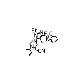 C=CC(=C)N1CCN(c2nc(CC)nc3c2CCN(c2ccccc2C(F)(F)F)C3)CC1CC#N